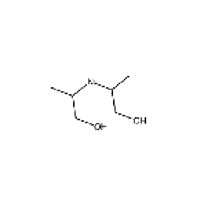 CC(CO)[N]C(C)CO